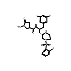 CCCCN1CC(C(=O)NC(Cc2cc(F)cc(F)c2)C[C@H]2CN(S(=O)(=O)c3ccccc3F)CCN2)CC1=O